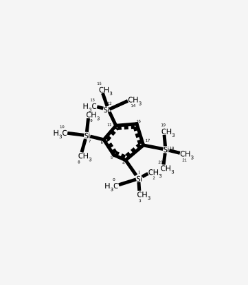 C[Si](C)(C)c1[c]c([Si](C)(C)C)c([Si](C)(C)C)cc1[Si](C)(C)C